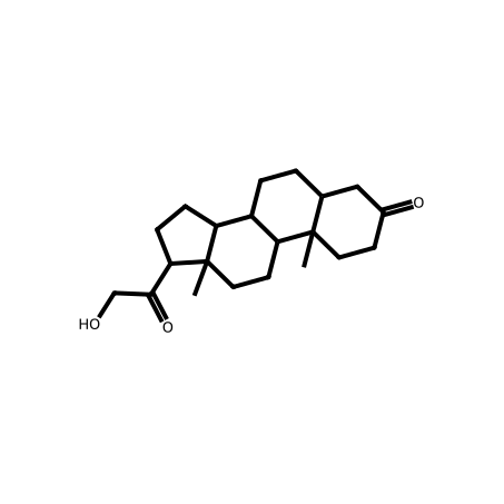 CC12CCC(=O)CC1CCC1C2CCC2(C)C(C(=O)CO)CCC12